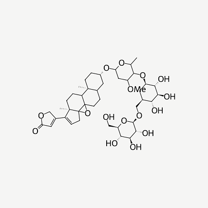 COC1CC(O[C@H]2CC[C@@]3(C)C(CCC45OC46CC=C(C4=CC(=O)OC4)[C@@]6(C)CCC53)C2)OC(C)C1O[C@@H]1C[C@H](CO[C@@H]2O[C@H](CO)[C@@H](O)[C@H](O)[C@H]2O)[C@@H](O)[C@H](O)[C@H]1O